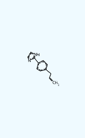 C=CCc1ccc(-c2ncc[nH]2)cc1